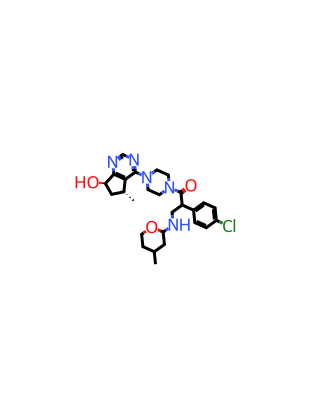 CC1CCOC(NCC(C(=O)N2CCN(c3ncnc4c3[C@H](C)C[C@H]4O)CC2)c2ccc(Cl)cc2)C1